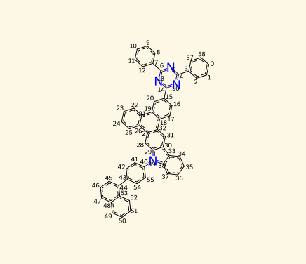 c1ccc(-c2nc(-c3ccccc3)nc(-c3ccc4c(c3)c3ccccc3c3cc5c(cc43)c3ccccc3n5-c3ccc(-c4cccc5ccccc45)cc3)n2)cc1